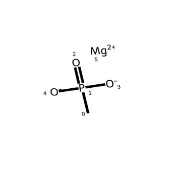 CP(=O)([O-])[O-].[Mg+2]